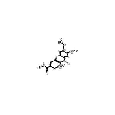 CCCNC(=O)C1=CC(C)=C(N(CC)C2=CC(NC)N(CO)C=C2)NC1